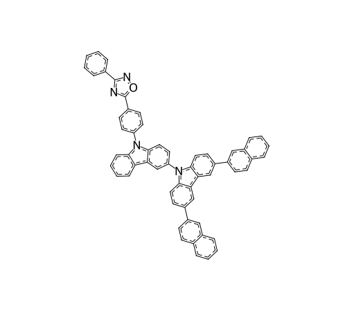 c1ccc(-c2noc(-c3ccc(-n4c5ccccc5c5cc(-n6c7ccc(-c8ccc9ccccc9c8)cc7c7cc(-c8ccc9ccccc9c8)ccc76)ccc54)cc3)n2)cc1